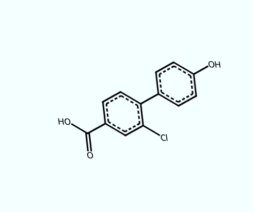 O=C(O)c1ccc(-c2ccc(O)cc2)c(Cl)c1